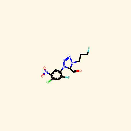 O=CC1N(CCCF)N=NN1c1cc([N+](=O)[O-])c(Cl)cc1F